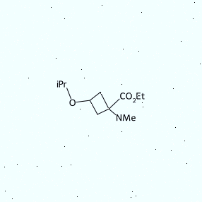 CCOC(=O)C1(NC)CC(OC(C)C)C1